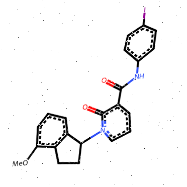 COc1cccc2c1CCC2n1cccc(C(=O)Nc2ccc(I)cc2)c1=O